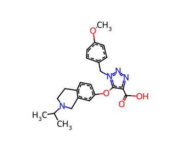 COc1ccc(Cn2nnc(C(=O)O)c2Oc2ccc3c(c2)CN(C(C)C)CC3)cc1